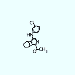 CC(=O)c1ncc(Nc2cccc(Cl)c2)c2c1C1CCC2C1